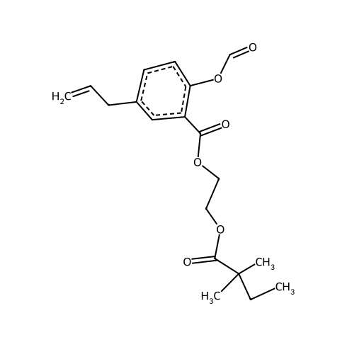 C=CCc1ccc(OC=O)c(C(=O)OCCOC(=O)C(C)(C)CC)c1